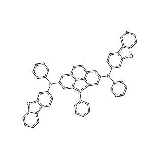 c1ccc(N(c2ccc3c(c2)oc2ccccc23)c2cc3ccc4cc(N(c5ccccc5)c5ccc6c(c5)oc5ccccc56)cc5c4c3c(c2)n5-c2ccccc2)cc1